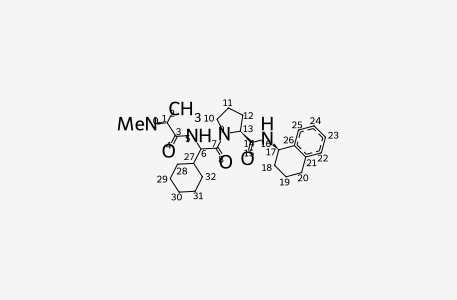 CN[C@@H](C)C(=O)NC(C(=O)N1CCC[C@H]1C(=O)N[C@@H]1CCCc2ccccc21)C1CCCCC1